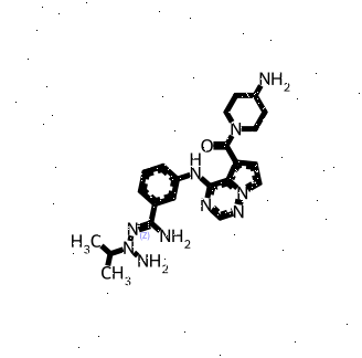 CC(C)N(N)/N=C(\N)c1cccc(Nc2ncnn3ccc(C(=O)N4CCC(N)CC4)c23)c1